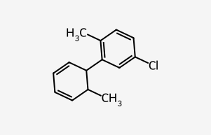 Cc1ccc(Cl)cc1C1C=CC=CC1C